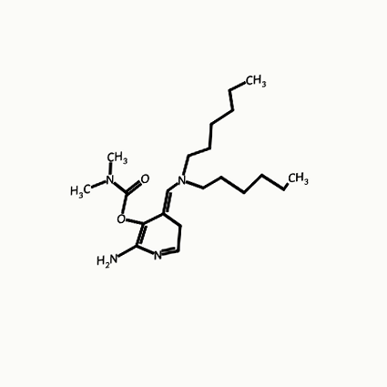 CCCCCCN(C=C1CC=NC(N)=C1OC(=O)N(C)C)CCCCCC